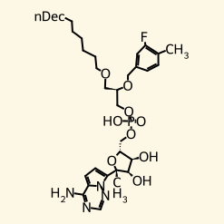 CCCCCCCCCCCCCCCCOC[C@H](COP(=O)(O)OC[C@H]1O[C@@](C)(c2ccc3c(N)ncnn23)[C@H](O)[C@@H]1O)OCc1ccc(C)c(F)c1